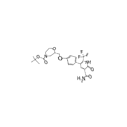 CC(C)(C)OC(=O)N1CCOC(COc2ccc(-c3cc(C(N)=O)c(=O)[nH]c3C(F)(F)F)cc2)C1